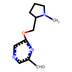 CN1CCCC1COc1cncc(C=O)n1